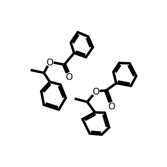 CC(OC(=O)c1ccccc1)c1ccccc1.CC(OC(=O)c1ccccc1)c1ccccc1